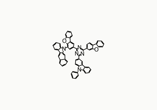 c1ccc(-n2c3ccccc3c3cc(-c4nc(-c5ccc6c(c5)oc5ccccc56)nc(-c5cc(-n6c7ccccc7c7cc8ccccc8cc76)c6oc7ccccc7c6c5)n4)ccc32)cc1